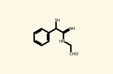 N=C(NC[C]=O)C(S)c1ccccc1